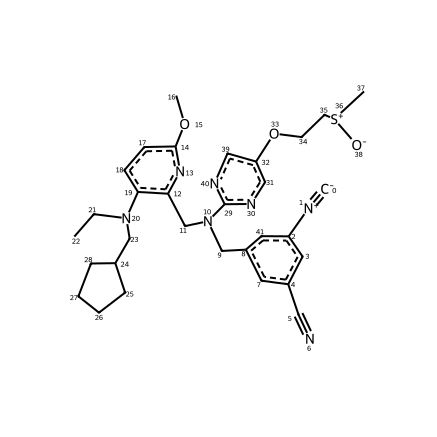 [C-]#[N+]c1cc(C#N)cc(CN(Cc2nc(OC)ccc2N(CC)CC2CCCC2)c2ncc(OCC[S+](C)[O-])cn2)c1